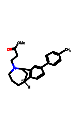 COC(=O)CCN1CCC[C@H]2CC1c1cc(-c3ccc(C)cc3)ccc12